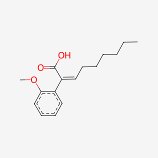 CCCCCCC=C(C(=O)O)c1ccccc1OC